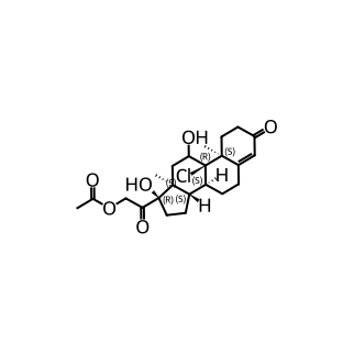 CC(=O)OCC(=O)[C@@]1(O)CC[C@H]2[C@@H]3CCC4=CC(=O)CC[C@]4(C)[C@@]3(Cl)C(O)C[C@@]21C